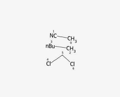 CC#N.CCCCC.ClCCl